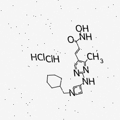 Cc1nc(Nc2ccn(CC3CCCCC3)c2)ncc1C=CC(=O)NO.Cl.Cl